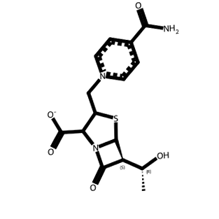 C[C@@H](O)[C@H]1C(=O)N2C(C(=O)[O-])C(C[n+]3ccc(C(N)=O)cc3)SC12